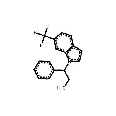 CCC(c1ccccc1)n1ccc2ccc(C(F)(F)F)cc21